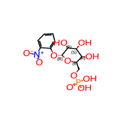 O=[N+]([O-])c1ccccc1O[C@H]1O[C@H](COP(=O)(O)O)[C@H](O)[C@H](O)[C@H]1O